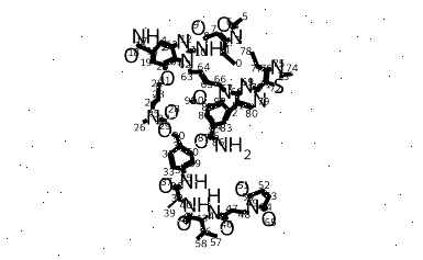 CCc1nc(C)oc1C(=O)Nc1nc2cc(C(N)=O)cc(OCCCN(C)C(=O)OCc3ccc(NC(=O)[C@H](C)NC(=O)[C@@H](NC(=O)CCN4C(=O)C=CC4=O)C(C)C)cc3)c2n1C/C=C/Cn1c2nc(-c3sc(C)nc3CC)ncc2c2cc(C(N)=O)cc(OC)c21